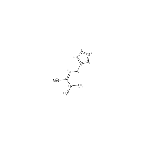 CSC(=NCc1cscn1)N(C)C